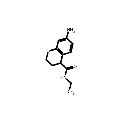 Nc1ccc2c(c1)OCCC2C(=O)NCC(F)(F)F